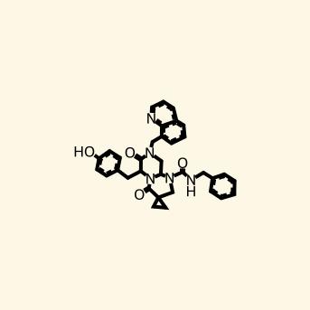 O=C1C(Cc2ccc(O)cc2)N2C(=O)C3(CC3)CN(C(=O)NCc3ccccc3)C2CN1Cc1cccc2cccnc12